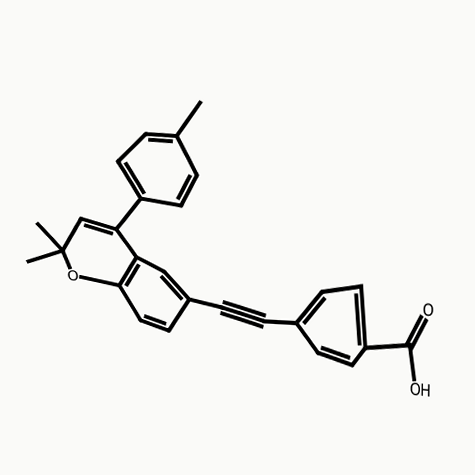 Cc1ccc(C2=CC(C)(C)Oc3ccc(C#Cc4ccc(C(=O)O)cc4)cc32)cc1